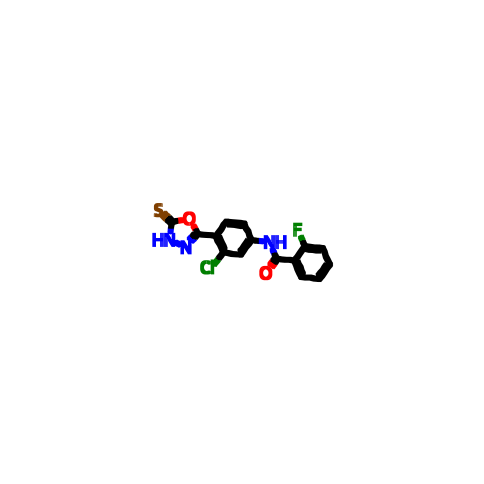 O=C(Nc1ccc(-c2n[nH]c(=S)o2)c(Cl)c1)c1ccccc1F